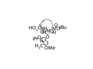 COc1ccc2c(O[C@@H]3C[C@H]4C(=O)N[C@]5(C(=O)O)CC5/C=C\CCCCC[C@H](NC(=O)OC(C)(C)C)C(=O)N4C3)cc(OC(C)C)nc2c1C